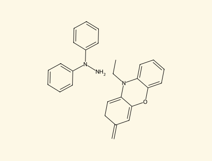 C=C1C=C2Oc3ccccc3N(CC)C2=CC1.NN(c1ccccc1)c1ccccc1